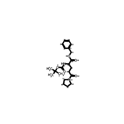 CC(C)(C)OC(=O)NC(CCC(=O)N1CCCC1)C(=O)OCc1ccccc1